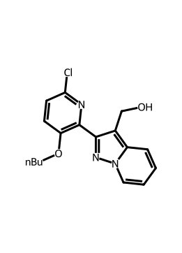 CCCCOc1ccc(Cl)nc1-c1nn2ccccc2c1CO